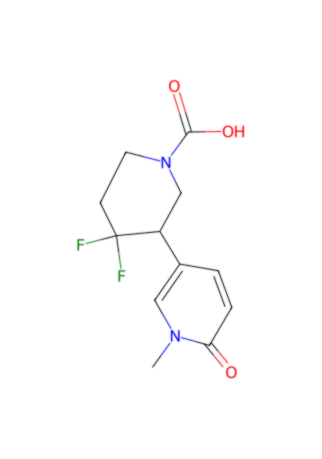 Cn1cc(C2CN(C(=O)O)CCC2(F)F)ccc1=O